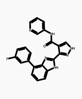 O=C(Nc1cccnc1)c1c[nH]nc1-c1nc2c(-c3cccc(F)c3)cccc2[nH]1